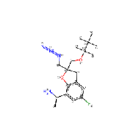 C[C@@H](N)c1cc(F)cc2c1OC(CN=[N+]=[N-])(CO[Si](C)(C)C(C)(C)C)C2